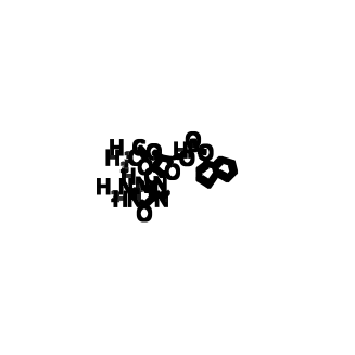 CC1(C)OC2[C@@H](CO[PH](=O)Oc3cccc4ccccc34)O[C@@H](n3cnc4c(=O)[nH]c(N)nc43)C2(C)O1